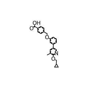 Cc1cc(-c2cccc(OCc3ccc(C(=O)O)cc3)c2)cnc1OCC1CC1